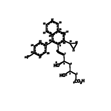 O=C(O)CC(O)C[C@@H](O)/C=C/c1c(C2CC2)nc2ccccc2c1-c1ccc(F)cc1